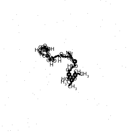 CC/C=c1/cc2c(cc1C)=C(c1cc(C(=O)CCCNC(=O)c3cccc(OCC(N=[N+]=[N-])OCCOCC(=O)NCC#Cc4cn([C@H]5CC(OCN=[N+]=[N-])[C@@H](COP(=O)(O)OP(=O)(O)OP(=O)(O)O)O5)c(=O)[nH]c4=O)c3)ccc1C(=O)O)c1cc(C)c(CCC)cc1O2